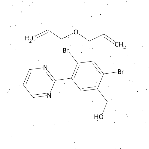 C=CCOCC=C.OCc1cc(-c2ncccn2)c(Br)cc1Br